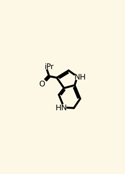 CC(C)C(=O)c1c[nH]c2c1=CNCC=2